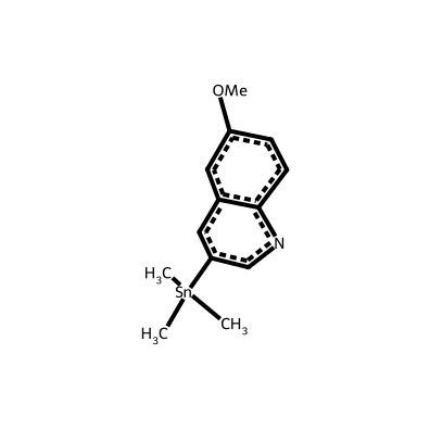 COc1ccc2nc[c]([Sn]([CH3])([CH3])[CH3])cc2c1